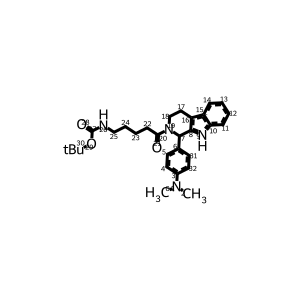 CN(C)c1ccc(C2c3[nH]c4ccccc4c3CCN2C(=O)CCCCNC(=O)OC(C)(C)C)cc1